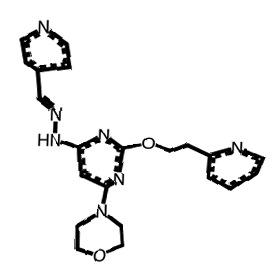 C(=NNc1cc(N2CCOCC2)nc(OCCc2ccccn2)n1)c1ccncc1